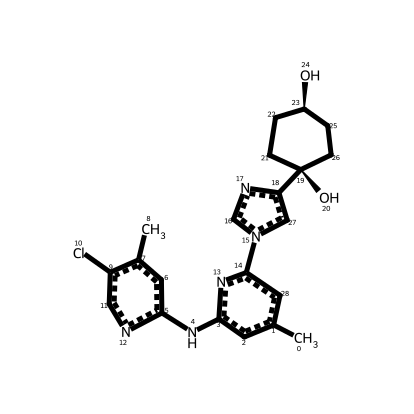 Cc1cc(Nc2cc(C)c(Cl)cn2)nc(-n2cnc([C@]3(O)CC[C@@H](O)CC3)c2)c1